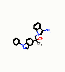 Nc1cn(CC(O)(c2ccc3c(cnn3-c3ccccc3)c2)C(F)(F)F)c2ccccc12